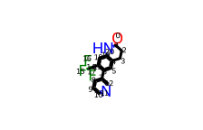 O=C1CCc2cc(-c3cccnc3)c(C(F)(F)F)cc2N1